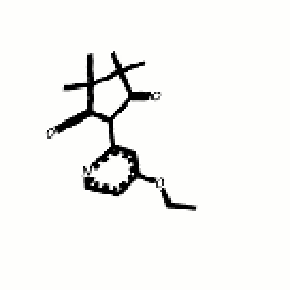 CCOc1ccnc(C2C(=O)C(C)(C)C(C)(C)C2=O)c1